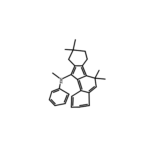 C[SiH](C1=C2CC(C)(C)CCC2=C2C1=c1ccccc1=CC2(C)C)c1ccccc1